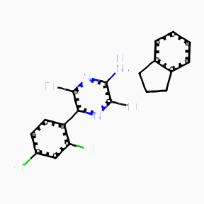 CCc1nc(-c2ccc(Cl)cc2Cl)c(CC)nc1N[C@H]1CCc2ccccc21